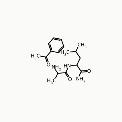 CC(=O)c1ccccc1.CC(C)CC(NC(=O)C(C)N)C(N)=O